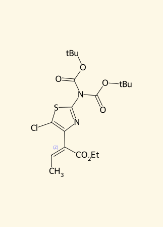 C/C=C(\C(=O)OCC)c1nc(N(C(=O)OC(C)(C)C)C(=O)OC(C)(C)C)sc1Cl